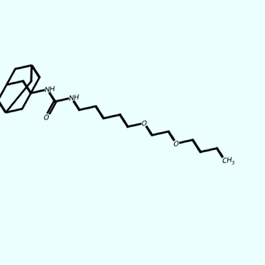 CCCCOCCOCCCCCNC(=O)NC12CC3CC(CC(C3)C1)C2